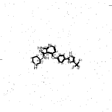 FC(F)(F)c1c[nH]c(-c2ccc(Oc3ccnc4[nH]nc(N[C@@H]5CCCNC5)c34)cc2)n1